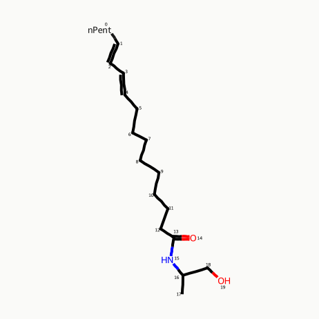 CCCCCC=CC=CCCCCCCCCC(=O)NC(C)CO